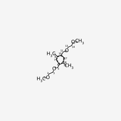 COCCOCc1cc(C)c(COCCOC)cc1C